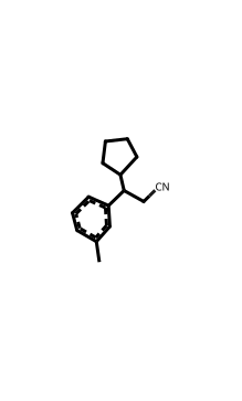 Cc1cccc(C(CC#N)C2CCCC2)c1